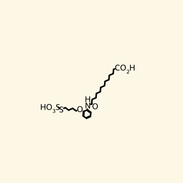 O=C(O)CCCCCCCCCCCC(=O)Nc1ccccc1OCCCCSS(=O)(=O)O